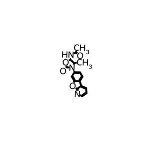 CC(=O)N[C@H]1OC(=O)N(c2ccc3c(c2)oc2ncccc23)C1C